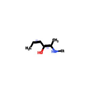 C/C=C\C(O)=C(/C)NCC